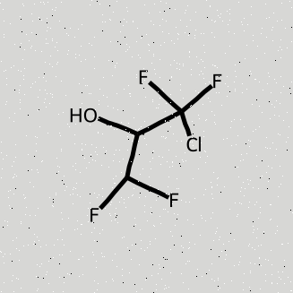 O[C](C(F)F)C(F)(F)Cl